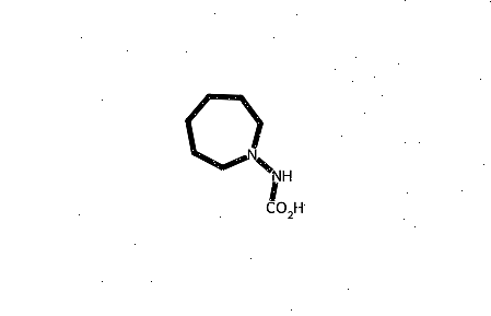 O=C(O)NN1CCCCCC1